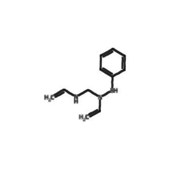 C=CNCN(Bc1ccccc1)C=C